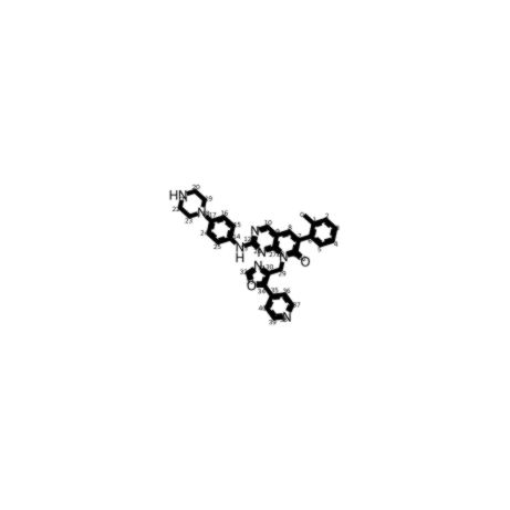 Cc1ccccc1-c1cc2cnc(Nc3ccc(N4CCNCC4)cc3)nc2n(Cc2ncoc2-c2ccncc2)c1=O